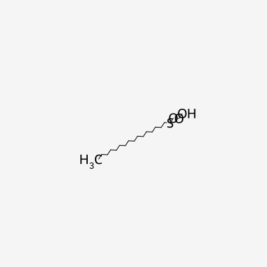 CCCCCCCCCCCCCCCCSOOO